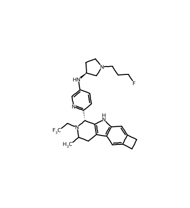 CC1Cc2c([nH]c3cc4c(cc23)CC4)[C@@H](c2ccc(N[C@H]3CCN(CCCF)C3)cn2)N1CC(F)(F)F